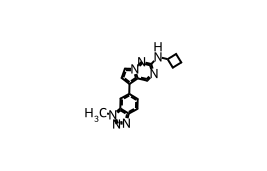 Cn1nnc2ccc(-c3ccn4nc(NC5CCC5)ncc34)cc21